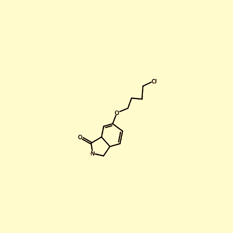 O=C1[N]CC2C=CC(OCCCCCl)=CC12